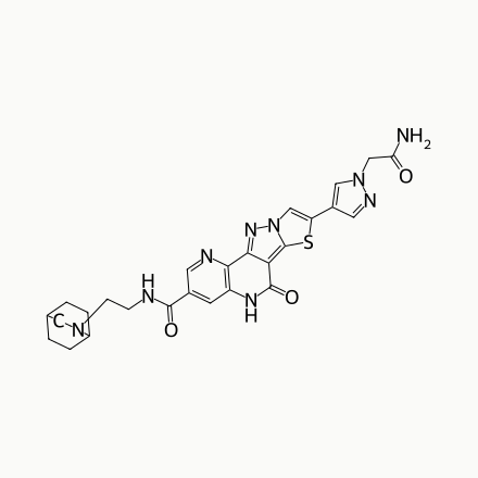 NC(=O)Cn1cc(-c2cn3nc4c5ncc(C(=O)NCCN6CC7CCC6CC7)cc5[nH]c(=O)c4c3s2)cn1